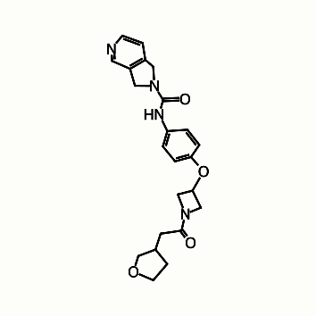 O=C(CC1CCOC1)N1CC(Oc2ccc(NC(=O)N3Cc4ccncc4C3)cc2)C1